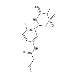 COCC(=O)Nc1ccc(F)c(C2CS(=O)(=O)C(C)C(=N)N2)c1